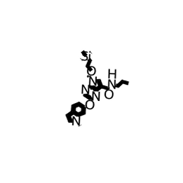 CCCNC(=O)c1cn(COCC[Si](C)(C)C)c2ncc(Oc3ccc4ccn(C)c4c3)nc12